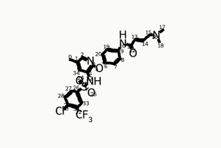 Cc1cnc(Oc2ccc(NC(=O)/C=C/CN(C)C)cc2)c(NS(=O)(=O)c2ccc(Cl)c(C(F)(F)F)c2)c1